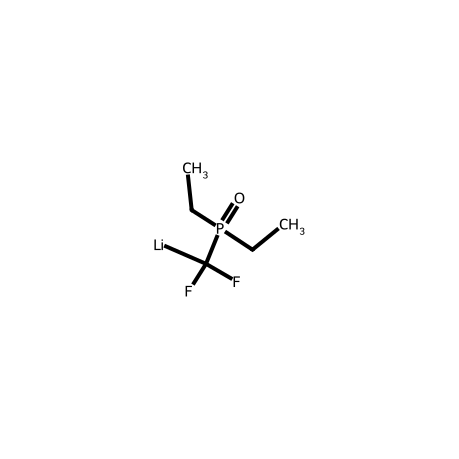 [Li][C](F)(F)P(=O)(CC)CC